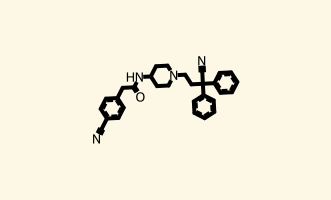 N#Cc1ccc(CC(=O)NC2CCN(CCC(C#N)(c3ccccc3)c3ccccc3)CC2)cc1